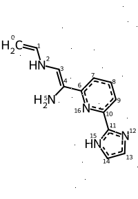 C=CN/C=C(\N)c1cccc(-c2ncc[nH]2)n1